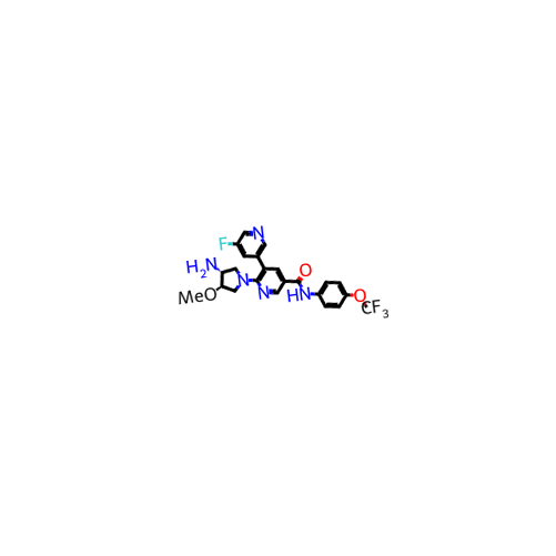 CO[C@@H]1CN(c2ncc(C(=O)Nc3ccc(OC(F)(F)F)cc3)cc2-c2cncc(F)c2)C[C@H]1N